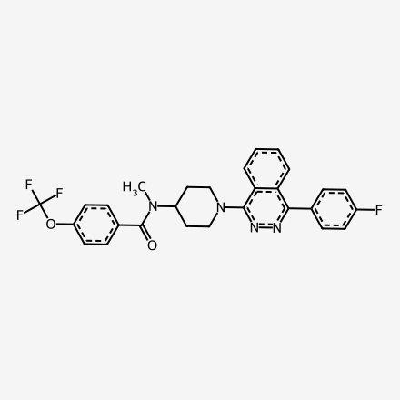 CN(C(=O)c1ccc(OC(F)(F)F)cc1)C1CCN(c2nnc(-c3ccc(F)cc3)c3ccccc23)CC1